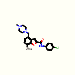 COc1ccc(CN2CCN(C)CC2)c2cc(C(=O)Nc3ccc(Cl)cc3)oc12